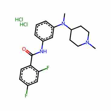 CN1CCC(N(C)c2cccc(NC(=O)c3ccc(F)cc3F)c2)CC1.Cl.Cl